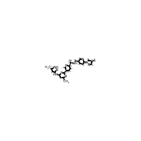 Cc1cc(Nc2cc(C)[nH]n2)nc(-c2ccc(C(=O)NCc3ccc(-n4cc(F)cn4)nc3)nc2)n1